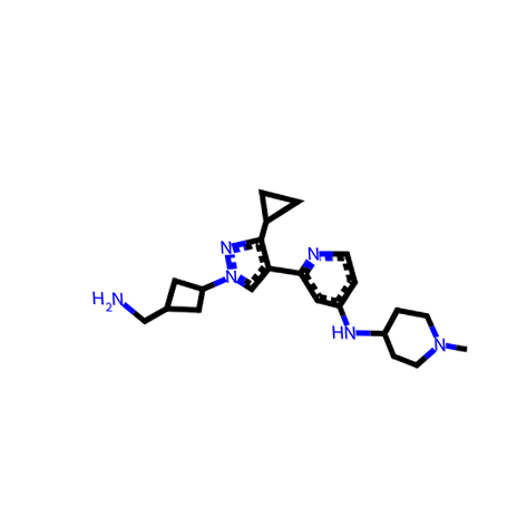 CN1CCC(Nc2ccnc(-c3cn(C4CC(CN)C4)nc3C3CC3)c2)CC1